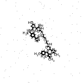 Cc1ccc(C2=NC(CC(=O)NCCOCCCOCC(=O)N[C@H](C(=O)N3C[C@@H](O)CC3C(=O)N[C@@H](C)c3ccc(-c4scnc4C)cc3)C(C)(C)C)c3nnc(C)n3-c3sc(C)c(C)c32)cc1